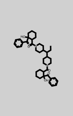 CCC(C1CCN(C(=O)C2CCCCC2(O)C(=O)c2ccccc2)CC1)C1CCN(C(=O)C2CCCCC2(O)C(=O)c2ccccc2)CC1